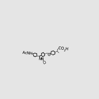 CC(=O)Nc1ccc(-c2nn(C3CCCC3)c3cc(COc4ccc(C(C)CC(=O)O)cc4)ccc23)cc1